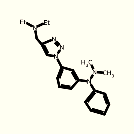 CCN(CC)Cc1cn(-c2cccc(N(c3ccccc3)N(C)C)c2)nn1